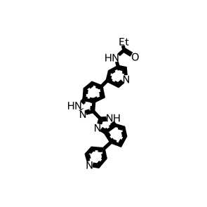 CCC(=O)Nc1cncc(-c2ccc3[nH]nc(-c4nc5c(-c6ccncc6)cccc5[nH]4)c3c2)c1